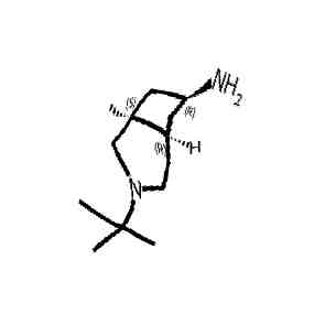 CC(C)(C)N1C[C@@H]2[C@H](N)C[C@]2(C)C1